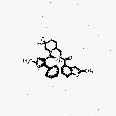 Cc1cc2c(C(=O)NCC3CCC(F)(F)CN3C(=O)c3nc(C)sc3-c3ccccc3)cccc2o1